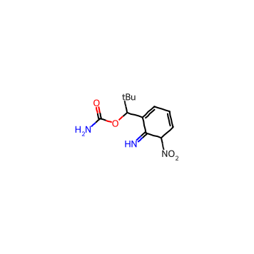 CC(C)(C)C(OC(N)=O)C1=CC=CC([N+](=O)[O-])C1=N